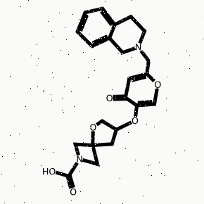 O=C(O)N1CC2(CC(Oc3coc(CN4CCc5ccccc5C4)cc3=O)CO2)C1